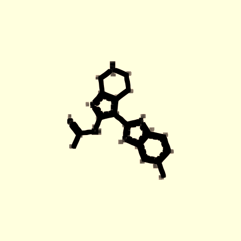 CC(=O)Nc1sc2c(c1-c1nc3cc(C)ccc3s1)CCNC2